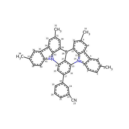 Cc1ccc2c(c1)c1cc(C)cc3c1n2-c1cc(-c2cccc(C#N)c2)cc2c1B3c1cc(C)cc3c4cc(C)ccc4n-2c13